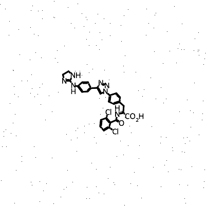 O=C(N[C@@H](Cc1ccc(-n2cc(-c3ccc(NC4=NCCN4)cc3)nn2)cc1)C(=O)O)c1c(Cl)cccc1Cl